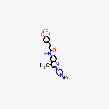 Cc1cc(N2CCN(C(C)C)CC2)nc2ccc(NC(=O)C=Cc3ccc(OC(F)(F)F)cc3)cc12